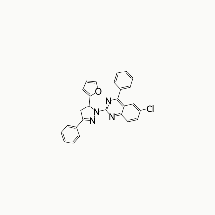 Clc1ccc2nc(N3N=C(c4ccccc4)CC3c3ccco3)nc(-c3ccccc3)c2c1